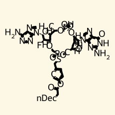 CCCCCCCCCCCC(=O)Oc1ccc(CSP2(=O)CO[C@H]3[C@@H](F)[C@H](n4cnc5c(N)ncnc54)O[C@@H]3[C@H](C)OP(=O)(O)O[C@@H]3[C@H](F)[C@@H](CO2)O[C@H]3n2cnc3c(=O)[nH]c(N)nc32)cc1